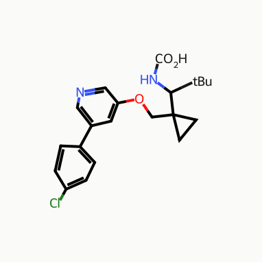 CC(C)(C)C(NC(=O)O)C1(COc2cncc(-c3ccc(Cl)cc3)c2)CC1